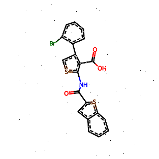 O=C(Nc1scc(-c2ccccc2Br)c1C(=O)O)c1cc2ccccc2s1